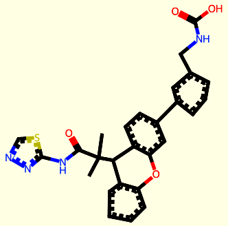 CC(C)(C(=O)Nc1nncs1)C1c2ccccc2Oc2cc(-c3cccc(CNC(=O)O)c3)ccc21